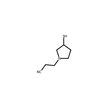 N#CCCN1CCC(S)C1